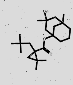 CC(C)(C)CC1(C(=O)OC23CCCC(C)(CC(C)(O)C2)C3)CC1(C)C